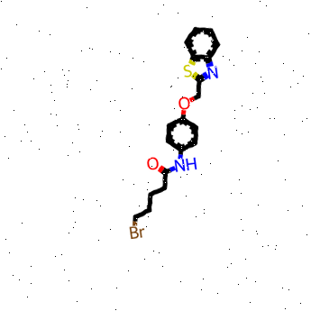 O=C(CCCCBr)Nc1ccc(OCc2nc3ccccc3s2)cc1